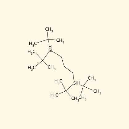 CC(C)(C)[SiH](CCC[SiH](C(C)(C)C)C(C)(C)C)C(C)(C)C